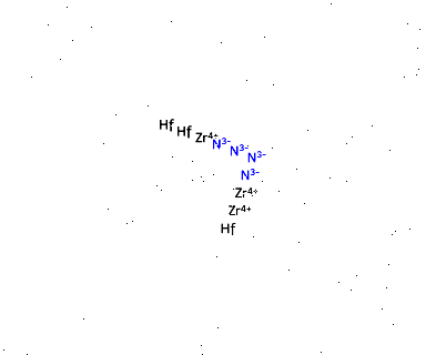 [Hf].[Hf].[Hf].[N-3].[N-3].[N-3].[N-3].[Zr+4].[Zr+4].[Zr+4]